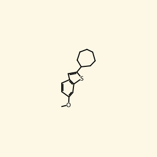 COc1ccc2cc(C3CCCCCC3)sc2c1